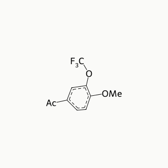 COc1ccc(C(C)=O)cc1OC(F)(F)F